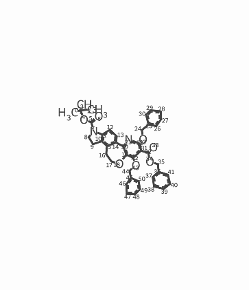 CC(C)(C)OC(=O)N1CCc2c1ccc1c2CCOc2c-1nc(OCc1ccccc1)c(C(=O)OCc1ccccc1)c2OCc1ccccc1